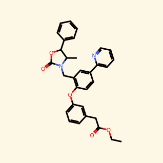 CCOC(=O)Cc1cccc(Oc2ccc(-c3ccccn3)cc2CN2C(=O)OC(c3ccccc3)C2C)c1